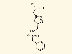 O=S(=O)(Cc1ccccc1)NCc1cn(CB(O)O)nn1